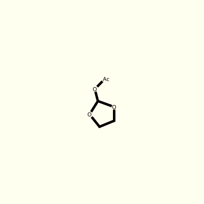 CC(=O)OC1OCCO1